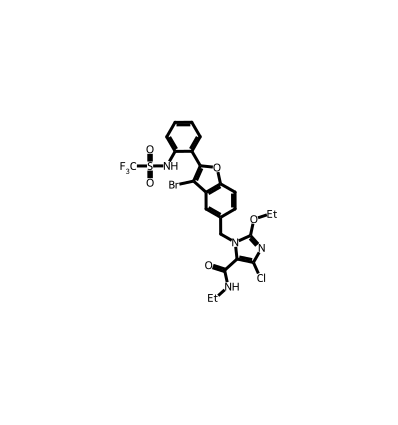 CCNC(=O)c1c(Cl)nc(OCC)n1Cc1ccc2oc(-c3ccccc3NS(=O)(=O)C(F)(F)F)c(Br)c2c1